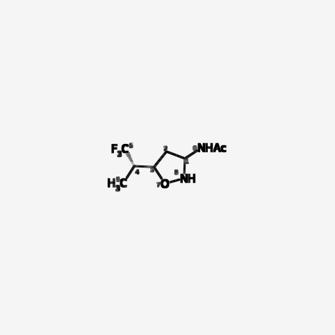 CC(=O)NC1CC([C@H](C)C(F)(F)F)ON1